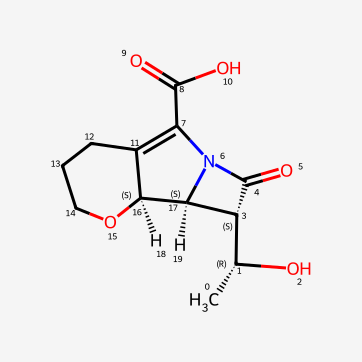 C[C@@H](O)[C@H]1C(=O)N2C(C(=O)O)=C3CCCO[C@@H]3[C@H]12